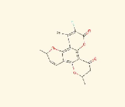 CCc1c(F)c(=O)oc2c3c(c4c(c12)OC(C)C=C4)OC(C)CC3=O